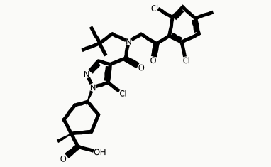 Cc1cc(Cl)c(C(=O)CN(CC(C)(C)C)C(=O)c2cnn([C@H]3CC[C@](C)(C(=O)O)CC3)c2Cl)c(Cl)c1